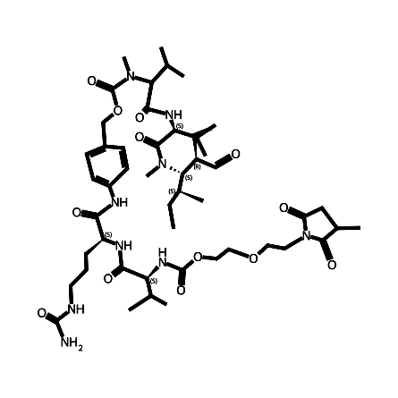 CC[C@@H](C=O)[C@H]([C@@H](C)CC)N(C)C(=O)[C@@H](NC(=O)C(C(C)C)N(C)C(=O)OCc1ccc(NC(=O)[C@H](CCCNC(N)=O)NC(=O)[C@@H](NC(=O)OCCOCCN2C(=O)CC(C)C2=O)C(C)C)cc1)C(C)C